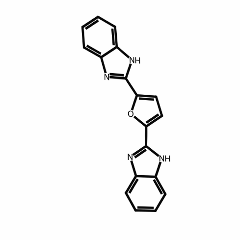 c1ccc2[nH]c(-c3ccc(-c4nc5ccccc5[nH]4)o3)nc2c1